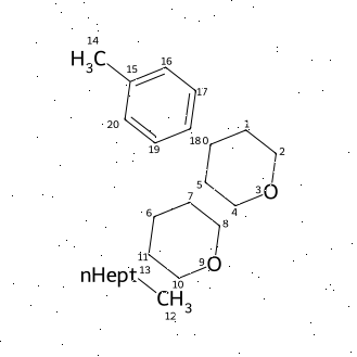 C1CCOCC1.C1CCOCC1.CCCCCCCC.Cc1ccccc1